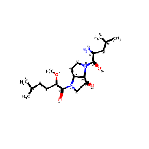 COC(CCC(C)C)C(=O)N1CC(=O)C2C1CCN2C(=O)C(N)CC(C)C